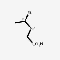 CC[C@H](C)NCC(=O)O